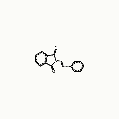 O=C1c2ccccc2C(=O)N1C=Cc1ccccc1